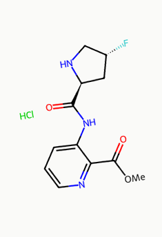 COC(=O)c1ncccc1NC(=O)[C@@H]1C[C@@H](F)CN1.Cl